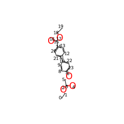 CCOC(=O)COc1ccc(-c2ccc(C(=O)OCC)cc2)cc1